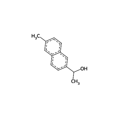 Cc1ccc2cc(C(C)O)ccc2c1